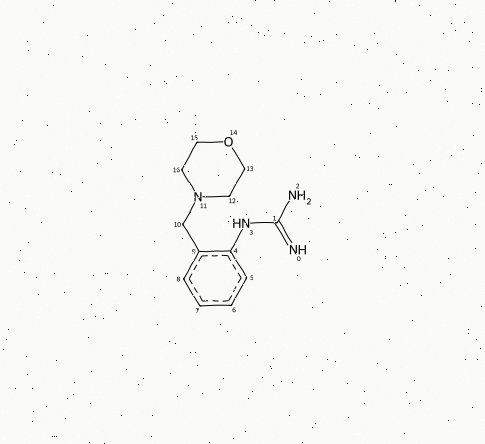 N=C(N)Nc1ccccc1CN1CCOCC1